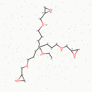 CCO[Si](CCCOCC1CO1)(CCCOCC1CO1)CCCOCC1CO1